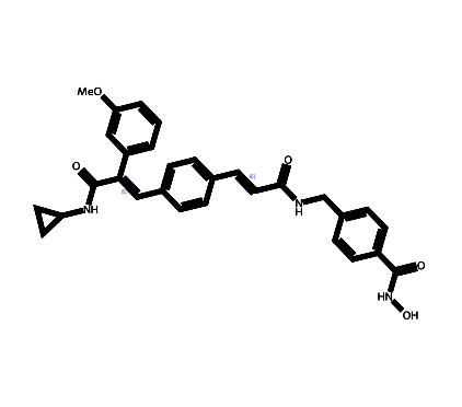 COc1cccc(/C(=C\c2ccc(/C=C/C(=O)NCc3ccc(C(=O)NO)cc3)cc2)C(=O)NC2CC2)c1